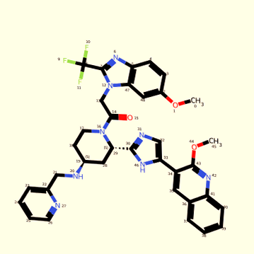 COc1ccc2nc(C(F)(F)F)n(CC(=O)N3CC[C@H](NCc4ccccn4)C[C@H]3c3ncc(-c4cc5ccccc5nc4OC)[nH]3)c2c1